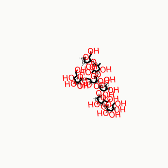 CC1C(O)[C@H](O[C@@H]2OC(CO[C@H]3OC(CO)[C@@H](O)C(O)[C@H]3O)[C@@H](O)C(O[C@H]3O[C@H](CO)[C@@H](O)C(O)C3O[C@@H]3OC(CO)[C@@H](O[C@@H]4OC(CO)[C@H](O)C(O)[C@@H]4O)C(O)[C@@H]3C)[C@H]2O)C(CO)O[C@H]1O[C@@H]1C(CO)O[C@@H](C)[C@@H](C)C1O